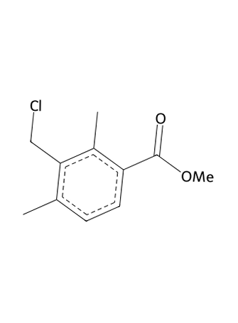 COC(=O)c1ccc(C)c(CCl)c1C